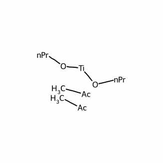 CC(C)=O.CC(C)=O.CCC[O][Ti][O]CCC